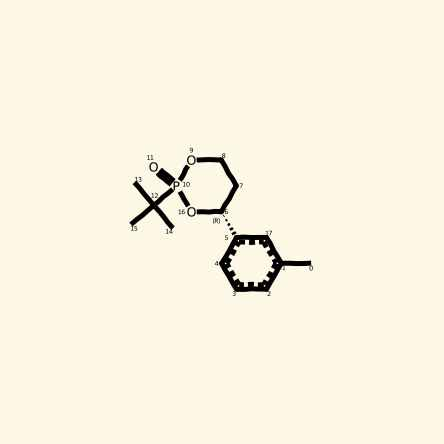 Cc1cccc([C@H]2CCOP(=O)(C(C)(C)C)O2)c1